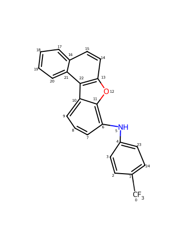 FC(F)(F)c1ccc(Nc2cccc3c2oc2ccc4ccccc4c23)cc1